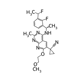 COCCOc1nc2nc(C)nc(N[C@H](C)c3cccc(C(C)F)c3F)c2cc1C1(C#N)CC1